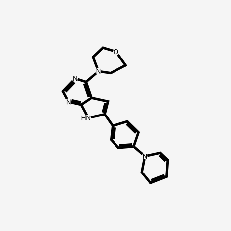 C1=CCN(c2ccc(-c3cc4c(N5CCOCC5)ncnc4[nH]3)cc2)C=C1